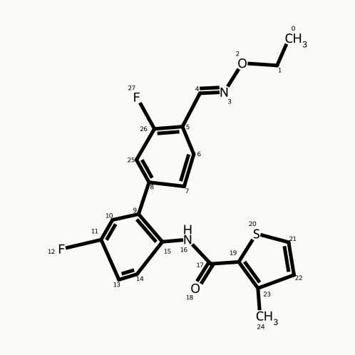 CCON=Cc1ccc(-c2cc(F)ccc2NC(=O)c2sccc2C)cc1F